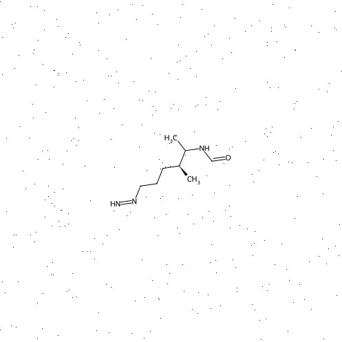 CC(NC=O)[C@@H](C)CCCN=N